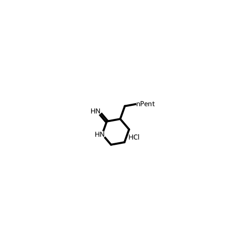 CCCCCCC1CCCNC1=N.Cl